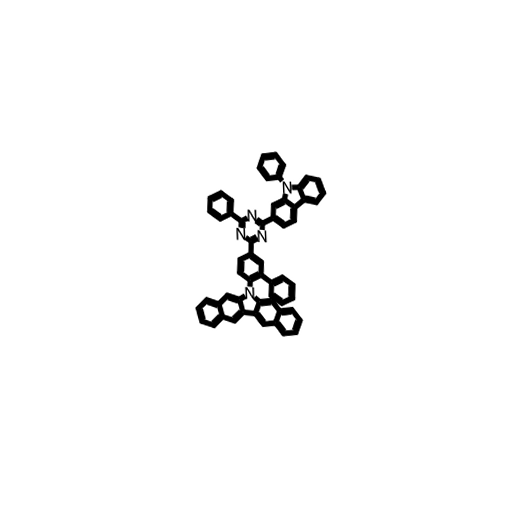 c1ccc(-c2nc(-c3ccc(-n4c5cc6ccccc6cc5c5cc6ccccc6cc54)c(-c4ccccc4)c3)nc(-c3ccc4c5ccccc5n(-c5ccccc5)c4c3)n2)cc1